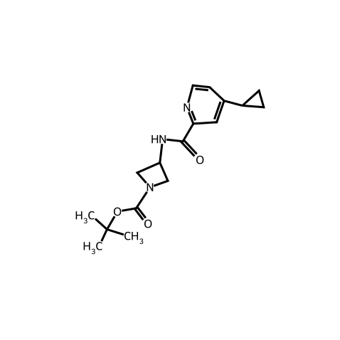 CC(C)(C)OC(=O)N1CC(NC(=O)c2cc(C3CC3)ccn2)C1